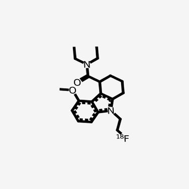 CCN(CC)C(=O)C1CCCc2c1c1c(OC)cccc1n2CC[18F]